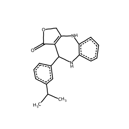 CC(C)c1cccc(C2Nc3ccccc3NC3=C2C(=O)OC3)c1